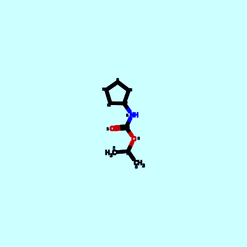 CC(C)OC(=O)NC1CCCC1